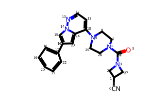 N#CC1CN(C(=O)N2CCN(c3ccnn4cc(-c5ccccc5)cc34)CC2)C1